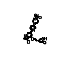 CS(=O)(=O)N1CCN(c2ccc(-c3cc(OCC[C@H]4CNC(=O)C4)c4c(Cl)cnn4c3)nc2)CC1